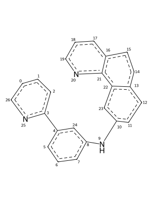 c1ccc(-c2cccc(Nc3ccc4ccc5cccnc5c4c3)c2)nc1